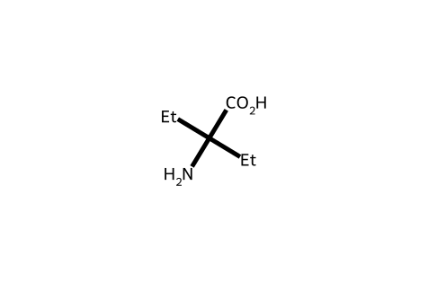 CCC(N)(CC)C(=O)O